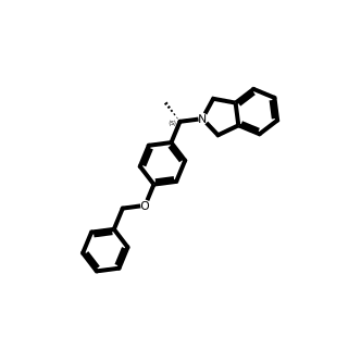 C[C@@H](c1ccc(OCc2ccccc2)cc1)N1Cc2ccccc2C1